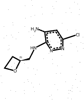 Nc1cc(Cl)nnc1NC[C@@H]1CCO1